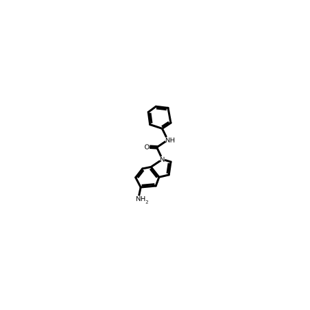 Nc1ccc2c(ccn2C(=O)Nc2ccccc2)c1